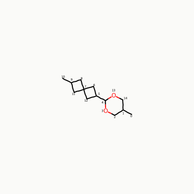 CC1COC(C2CC3(CC(C)C3)C2)OC1